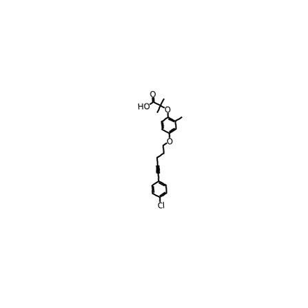 Cc1cc(OCCCC#Cc2ccc(Cl)cc2)ccc1OC(C)(C)C(=O)O